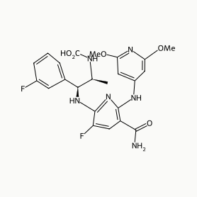 COc1cc(Nc2nc(N[C@@H](c3cccc(F)c3)[C@H](C)NC(=O)O)c(F)cc2C(N)=O)cc(OC)n1